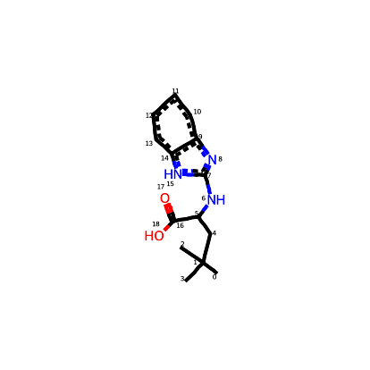 CC(C)(C)CC(Nc1nc2ccccc2[nH]1)C(=O)O